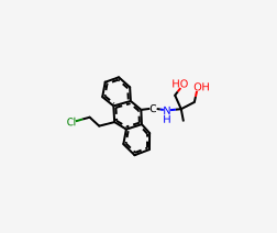 CC(CO)(CO)NCc1c2ccccc2c(CCCl)c2ccccc12